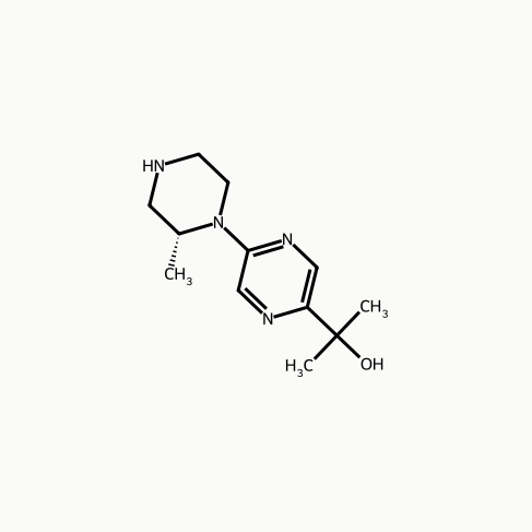 C[C@@H]1CNCCN1c1cnc(C(C)(C)O)cn1